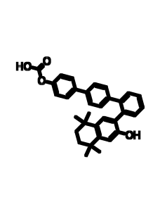 CC1(C)CCC(C)(C)c2cc(-c3ccccc3-c3ccc(-c4ccc(OC(=O)O)cc4)cc3)c(O)cc21